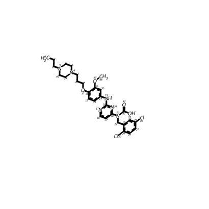 CCCN1CCN(CCCOc2ccc(Nc3nccc(N(Cc4cc(Cl)ccc4Cl)C(=O)O)n3)cc2OC)CC1